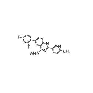 CNc1nc(-c2ccc(C)nc2)nc2ccc(-c3ccc(F)cc3F)cc12